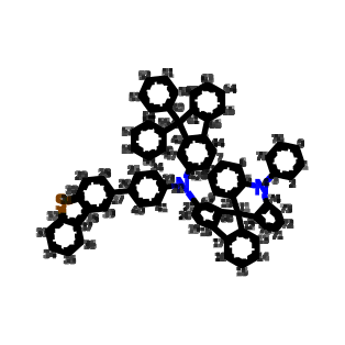 c1ccc(N2c3ccccc3C3(c4ccccc4-c4ccc(N(c5ccc(-c6ccc7sc8ccccc8c7c6)cc5)c5ccc6c(c5)C(c5ccccc5)(c5ccccc5)c5ccccc5-6)cc43)c3ccccc32)cc1